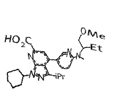 CCC(COC)N(C)c1ccc(-c2cc(C(=O)O)nc3c2c(C(C)C)nn3C2CCCCC2)cn1